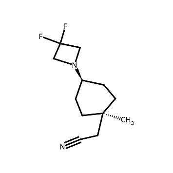 C[C@]1(CC#N)CC[C@@H](N2CC(F)(F)C2)CC1